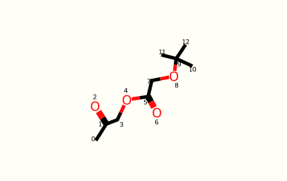 CC(=O)COC(=O)COC(C)(C)C